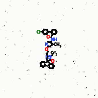 Cc1cc(OCCCCC2(C(=O)NCC(F)(F)F)c3ccccc3-c3ccccc32)ncc1NC(=O)c1ccccc1-c1ccc(Cl)cc1